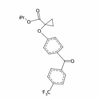 CC(C)OC(=O)C1(Oc2ccc(C(=O)c3ccc(C(F)(F)F)cc3)cc2)CC1